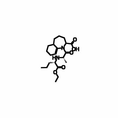 CCC[C@H](N[C@@H](C)C(=O)N1C2=CCCCC2CCCC1C(=O)O)C(=O)OCC